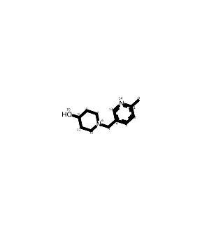 Cc1ccc(CN2CCC(O)CC2)cn1